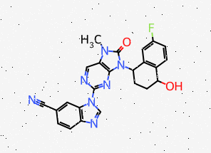 Cn1c(=O)n(C2CCC(O)c3ccc(F)cc32)c2nc(-n3cnc4ccc(C#N)cc43)ncc21